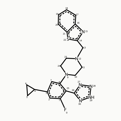 Fc1cc(C2CC2)cc(N2CCN(Cc3nc4ccccc4s3)CC2)c1-c1nn[nH]n1